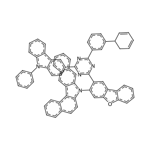 C1=CCC(c2cccc(-c3nc(-c4ccc5c(c4)c4ccccc4n5-c4ccccc4)nc(-c4cc5c(cc4-n4c6cc7ccccc7cc6c6c7ccccc7ccc64)oc4ccccc45)n3)c2)C=C1